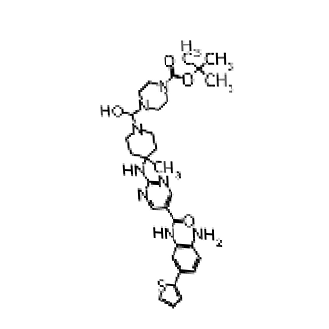 CC1(Nc2ncc(C(=O)Nc3cc(-c4cccs4)ccc3N)cn2)CCN(C(O)N2CCN(C(=O)OC(C)(C)C)CC2)CC1